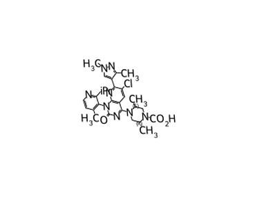 Cc1ccnc(C(C)C)c1-n1c(=O)nc(N2C[C@@H](C)N(C(=O)O)C[C@@H]2C)c2cc(Cl)c(-c3cn(C)nc3C)nc21